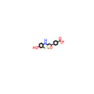 COC(=O)c1ccc(C(=O)/C=C(/Nc2ccc(O)cc2C)SC)cc1